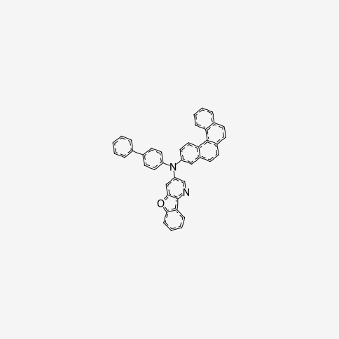 c1ccc(-c2ccc(N(c3ccc4c(ccc5ccc6ccccc6c54)c3)c3cnc4c(c3)oc3ccccc34)cc2)cc1